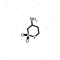 NC1CCSS(=O)(=O)C1